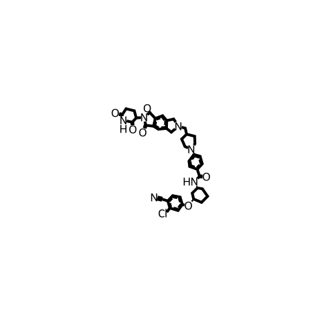 N#Cc1ccc(O[C@@H]2CCC[C@@H](NC(=O)c3ccc(N4CCC(CN5Cc6cc7c(cc6C5)C(=O)N(C5CCC(=O)NC5=O)C7=O)CC4)cc3)C2)cc1Cl